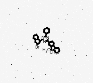 CC1(C)c2ccccc2-c2ccc(-c3nc(-c4ccccc4)nc(-c4cc(Br)cc5ccccc45)n3)cc21